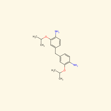 CC(C)Oc1cc(Cc2ccc(N)c(OC(C)C)c2)ccc1N